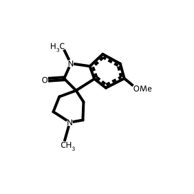 COc1ccc2c(c1)C1(CCN(C)CC1)C(=O)N2C